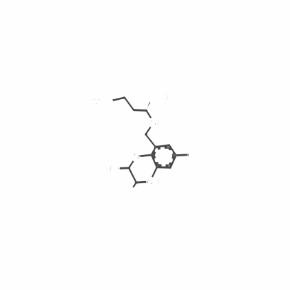 CSCC[C@H](NCc1cc(Br)cc2c1NC(O)C(O)N2)C(=O)O